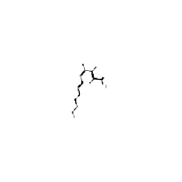 CCCCCC=CC=C(C)C(C)=C(C)C(=O)O